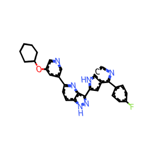 Fc1ccc(-c2nccc3[nH]c(-c4n[nH]c5ccc(-c6cncc(OC7CCCCC7)c6)nc45)cc23)cc1